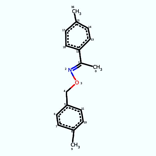 C/C(=N\OCc1ccc(C)cc1)c1ccc(C)cc1